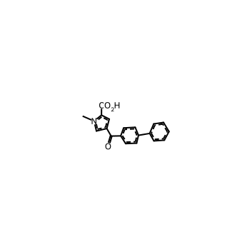 Cn1cc(C(=O)c2ccc(-c3ccccc3)cc2)cc1C(=O)O